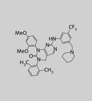 COc1ccc(N2C(=O)N(c3c(C)cccc3C)Cc3cnc(Nc4cc(CN5CCCCC5)cc(C(F)(F)F)c4)nc32)c(OC)c1